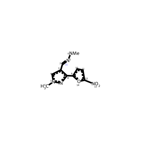 CN/N=C/c1cn(C)nc1-c1ccc([N+](=O)[O-])o1